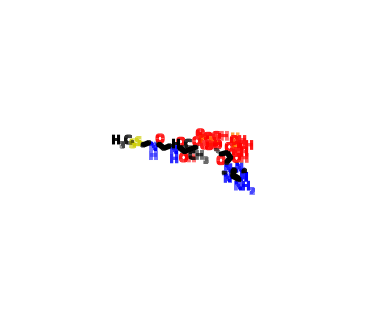 CSSCCNC(=O)CCNC(=O)[C@@H](O)C(C)(C)COP(=O)(O)OP(=O)(O)OC[C@H]1O[C@@H](n2cnc3c(N)ncnc32)[C@@H](O)C1O[PH](O)(O)O